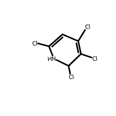 Cl[C]1NC(Cl)=CC(Cl)=C1Cl